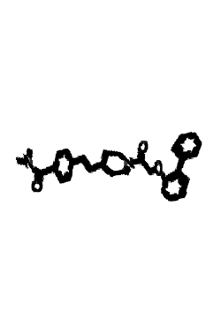 CN(C)C(=O)c1ccc(CCC2CCN(C(=O)COc3ccccc3-c3ccccc3)CC2)cc1